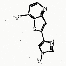 CCn1cnc(-c2cc3nccc(C)c3s2)c1